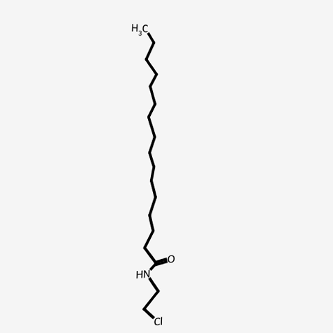 CCCCCCCCCCCCCCCC(=O)NCCCl